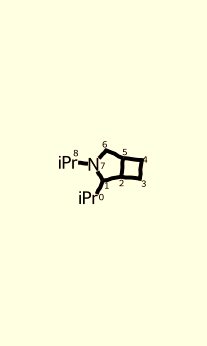 CC(C)C1C2CCC2CN1C(C)C